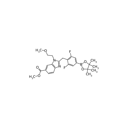 COCCn1c(Cc2c(F)cc(B3OC(C)(C)C(C)(C)O3)cc2F)nc2ccc(C(=O)OC)cc21